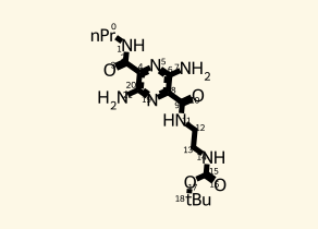 CCCNC(=O)c1nc(N)c(C(=O)NCCNC(=O)OC(C)(C)C)nc1N